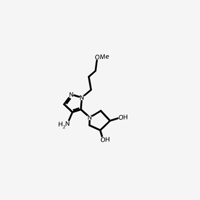 COCCCn1ncc(N)c1N1CC(O)C(O)C1